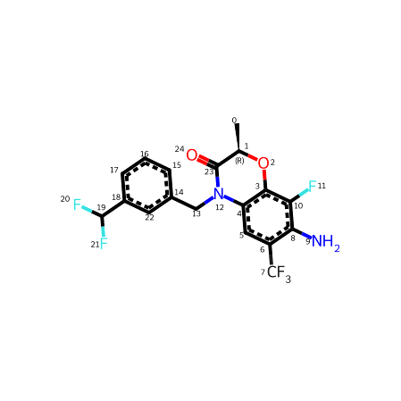 C[C@H]1Oc2c(cc(C(F)(F)F)c(N)c2F)N(Cc2cccc(C(F)F)c2)C1=O